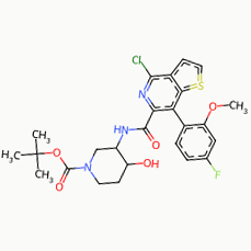 COc1cc(F)ccc1-c1c(C(=O)NC2CN(C(=O)OC(C)(C)C)CCC2O)nc(Cl)c2ccsc12